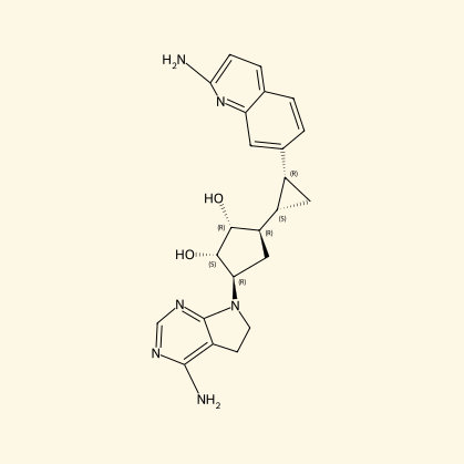 Nc1ccc2ccc([C@@H]3C[C@@H]3[C@H]3C[C@@H](N4CCc5c(N)ncnc54)[C@H](O)[C@@H]3O)cc2n1